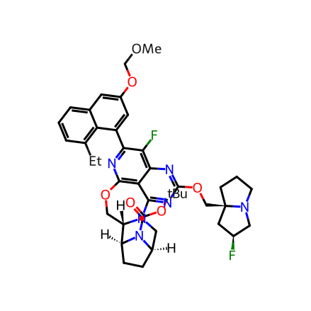 CCc1cccc2cc(OCOC)cc(-c3nc4c5c(nc(OC[C@@]67CCCN6C[C@@H](F)C7)nc5c3F)N3C[C@H]5CC[C@@H]([C@@H]3CO4)N5C(=O)OC(C)(C)C)c12